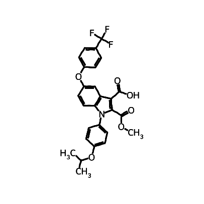 COC(=O)c1c(C(=O)O)c2cc(Oc3ccc(C(F)(F)F)cc3)ccc2n1-c1ccc(OC(C)C)cc1